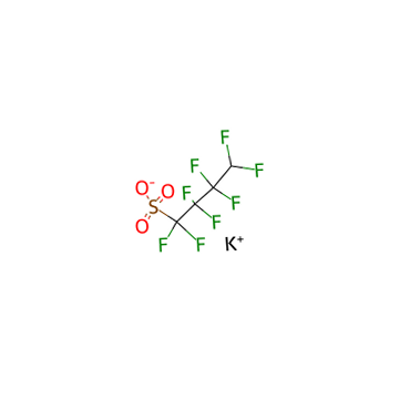 O=S(=O)([O-])C(F)(F)C(F)(F)C(F)(F)C(F)F.[K+]